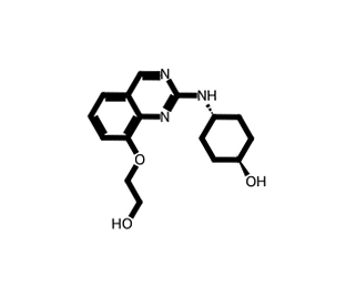 OCCOc1cccc2cnc(N[C@H]3CC[C@H](O)CC3)nc12